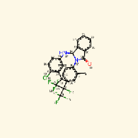 Cc1cc(C(F)(C(F)(F)F)C(F)(F)F)ccc1N1C(=O)c2ccccc2C1Nc1ccc(Cl)c(C(C)C)c1